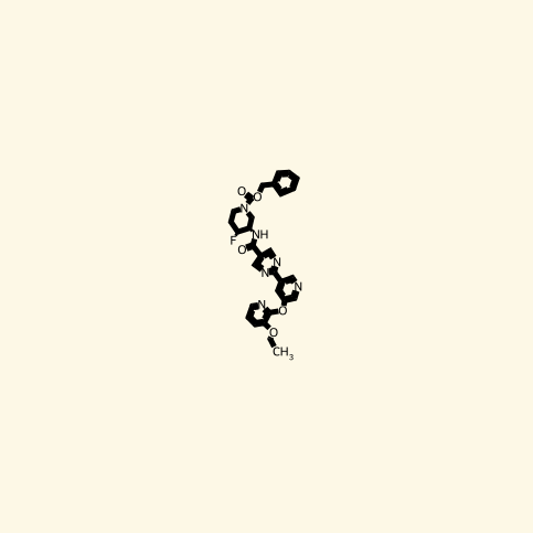 CCOc1cccnc1Oc1cncc(-c2ncc(C(=O)N[C@@H]3CN(C(=O)OCc4ccccc4)CC[C@@H]3F)cn2)c1